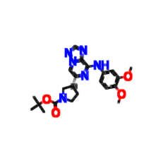 COc1ccc(Nc2nc([C@@H]3CCN(C(=O)OC(C)(C)C)C3)cn3ncnc23)cc1OC